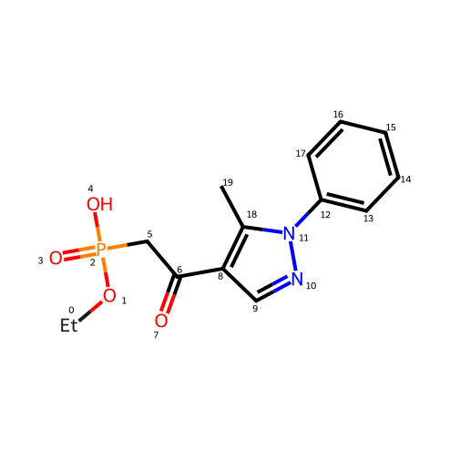 CCOP(=O)(O)CC(=O)c1cnn(-c2ccccc2)c1C